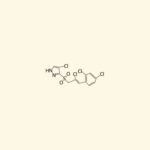 O=S(=O)(CC(Cl)=Cc1ccc(Cl)cc1Cl)c1n[nH]cc1Cl